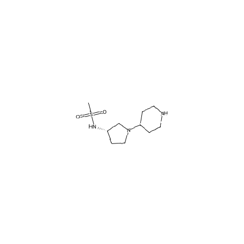 CS(=O)(=O)N[C@H]1CCN(C2CCNCC2)C1